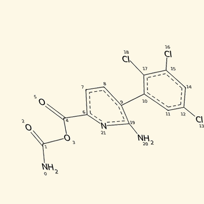 NC(=O)OC(=O)c1ccc(-c2cc(Cl)cc(Cl)c2Cl)c(N)n1